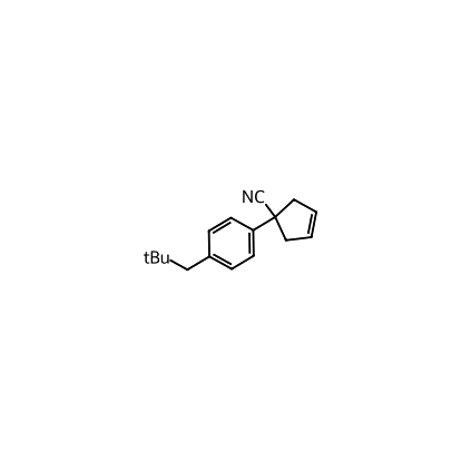 CC(C)(C)Cc1ccc(C2(C#N)CC=CC2)cc1